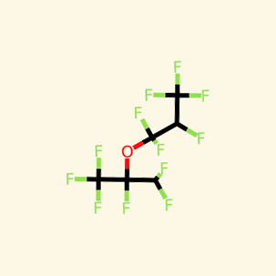 FC(C(F)(F)F)C(F)(F)OC(F)(C(F)F)C(F)(F)F